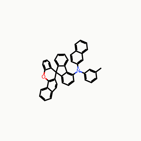 Cc1cccc(N(c2ccc3ccccc3c2)c2cccc3c2-c2ccccc2C32c3ccccc3Oc3c2ccc2ccccc32)c1